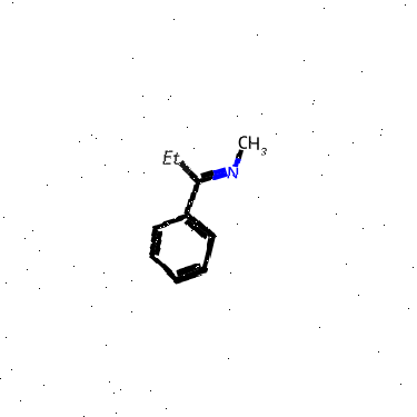 CC/C(=N\C)c1ccccc1